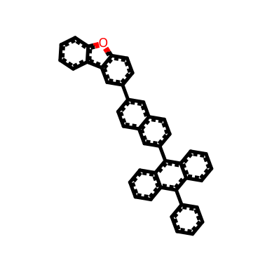 c1ccc(-c2c3ccccc3c(-c3ccc4cc(-c5ccc6oc7ccccc7c6c5)ccc4c3)c3ccccc23)cc1